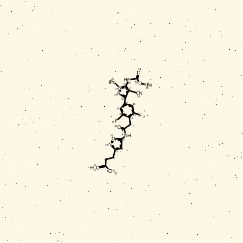 C=C(C)CCc1cc(NC(=O)Cc2c(F)cc(-c3nn(C(C)C)c(NC(=O)OC(C)(C)C)c3C#N)cc2F)on1